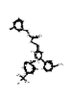 Cc1cccc(CNC(=O)CCc2cc(-c3cccc(F)c3)n(-c3ccc(C(F)(F)F)cc3)n2)c1